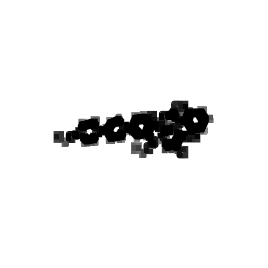 COc1cc(N2CCC(N3CCN(C)CC3)CC2)ccc1Nc1ncc(Cl)c(Nc2ccccc2SC(C)C)n1